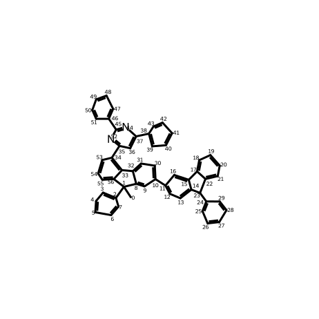 CC1(c2ccccc2)c2cc(-c3ccc4c(c3)-c3ccccc3C4c3ccccc3)ccc2-c2c(-c3cc(-c4ccccc4)nc(-c4ccccc4)n3)cccc21